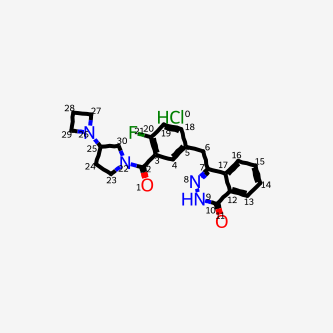 Cl.O=C(c1cc(Cc2n[nH]c(=O)c3ccccc23)ccc1F)N1CCC(N2CCC2)C1